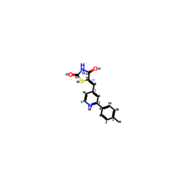 Cc1ccc(-c2cc(/C=C3\SC(=O)NC3=O)ccn2)cc1